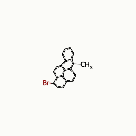 Cc1c2ccccc2c2ccc3c(Br)ccc4ccc1c2c43